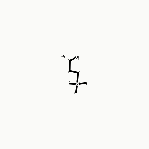 C[C@H](O)CC[Si](C)(C)C